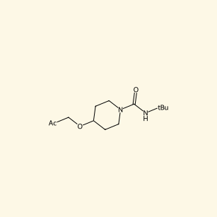 CC(=O)COC1CCN(C(=O)NC(C)(C)C)CC1